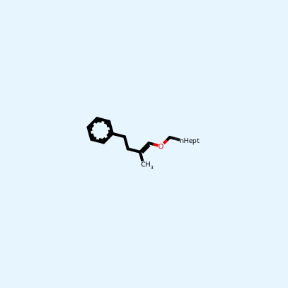 CCCCCCCCOC=C(C)CCc1ccccc1